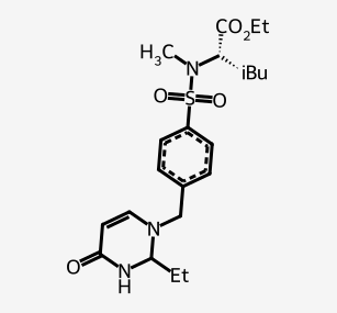 CCOC(=O)[C@H]([C@@H](C)CC)N(C)S(=O)(=O)c1ccc(CN2C=CC(=O)NC2CC)cc1